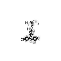 CN(C)CCCNC(=O)Oc1csc(N(C(=O)c2ccc(Cl)cc2Cl)c2ccc(Cl)cc2)n1